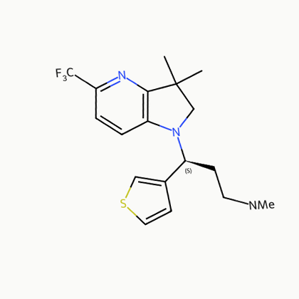 CNCC[C@@H](c1ccsc1)N1CC(C)(C)c2nc(C(F)(F)F)ccc21